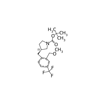 COCc1cc(C(F)(F)F)ccc1C[C@H]1CCN(C(=O)OC(C)(C)C)C1